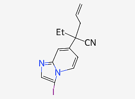 C=CCC(C#N)(CC)c1ccn2c(I)cnc2c1